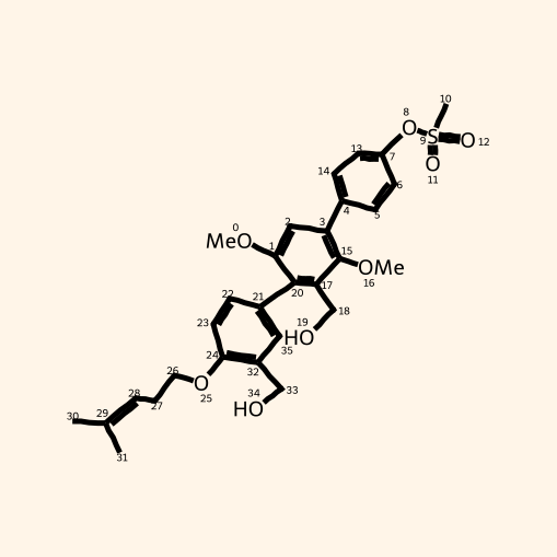 COc1cc(-c2ccc(OS(C)(=O)=O)cc2)c(OC)c(CO)c1-c1ccc(OCCC=C(C)C)c(CO)c1